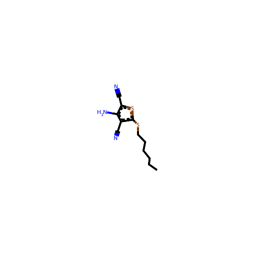 CCCCCCSc1sc(C#N)c(N)c1C#N